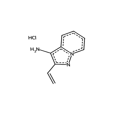 C=Cc1nn2ccccc2c1N.Cl